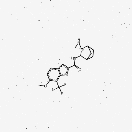 COc1ccc2cc(C(=O)NC3C4CCC(CC4)[C@@]34CN4)sc2c1C(F)(F)F